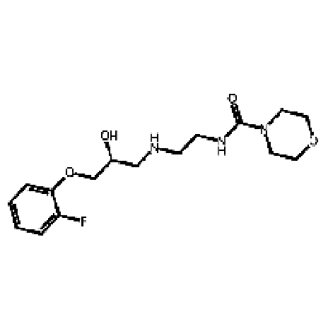 O=C(NCCNC[C@H](O)COc1ccccc1F)N1CCOCC1